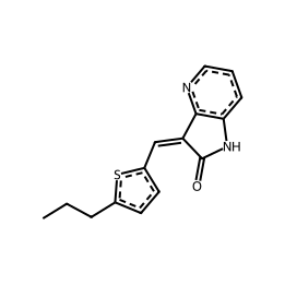 CCCc1ccc(C=C2C(=O)Nc3cccnc32)s1